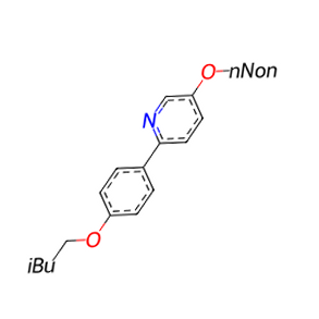 CCCCCCCCCOc1ccc(-c2ccc(OCC(C)CC)cc2)nc1